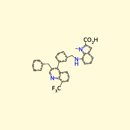 Cn1c(C(=O)O)cc2cccc(NCc3cccc(-c4c(Cc5ccccc5)cnc5c(C(F)(F)F)cccc45)c3)c21